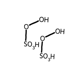 O=S(=O)(O)OO.O=S(=O)(O)OO